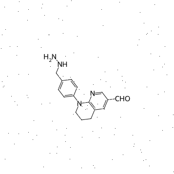 NNCc1ccc(N2CCCc3cc(C=O)cnc32)cc1